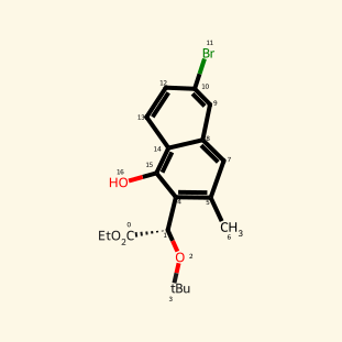 CCOC(=O)[C@@H](OC(C)(C)C)c1c(C)cc2cc(Br)ccc2c1O